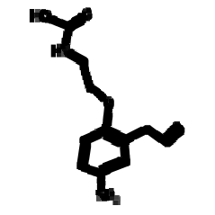 C=CCc1cc(N)ccc1OCCNC(=O)O